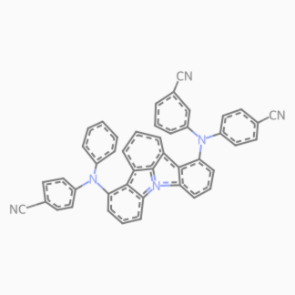 N#Cc1ccc(N(c2ccccc2)c2cccc3c2c2cccc4c5c(N(c6ccc(C#N)cc6)c6cccc(C#N)c6)cccc5n3c24)cc1